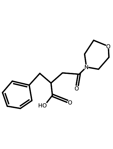 O=C(O)C(CC(=O)N1CCOCC1)Cc1ccccc1